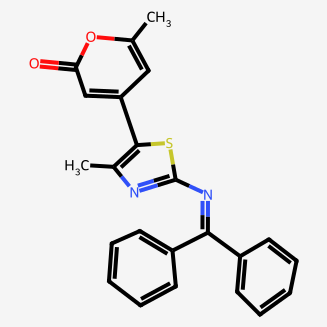 Cc1cc(-c2sc(N=C(c3ccccc3)c3ccccc3)nc2C)cc(=O)o1